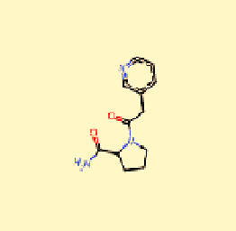 NC(=O)C1CCCN1C(=O)Cc1cccnc1